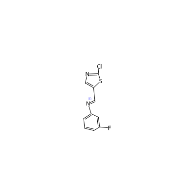 Fc1cccc(/N=C/c2cnc(Cl)s2)c1